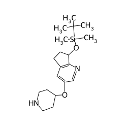 CC(C)(C)[Si](C)(C)OC1CCc2cc(OC3CCNCC3)cnc21